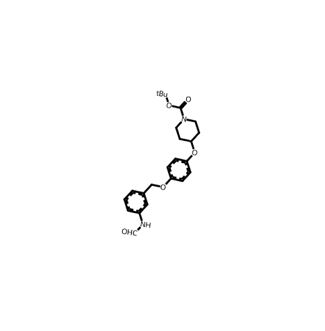 CC(C)(C)OC(=O)N1CCC(Oc2ccc(OCc3cccc(NC=O)c3)cc2)CC1